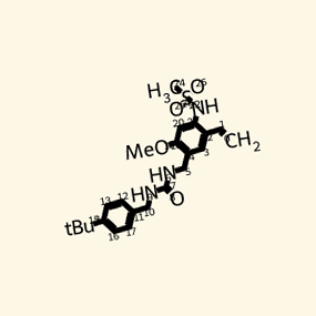 C=Cc1cc(CNC(=O)NCc2ccc(C(C)(C)C)cc2)c(OC)cc1NS(C)(=O)=O